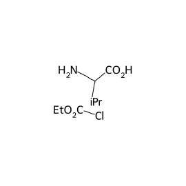 CC(C)C(N)C(=O)O.CCOC(=O)Cl